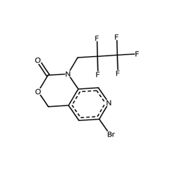 O=C1OCc2cc(Br)ncc2N1CC(F)(F)C(F)(F)F